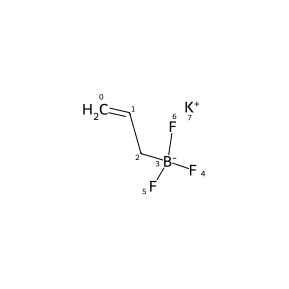 C=CC[B-](F)(F)F.[K+]